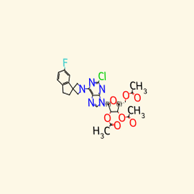 CC(=O)OC[C@H]1O[C@@H](n2cnc3c(N4CC5(CCc6ccc(F)cc65)C4)nc(Cl)nc32)C(OC(C)=O)C1OC(C)=O